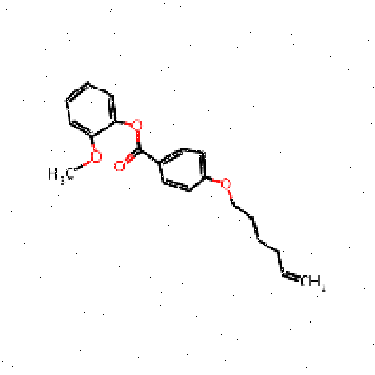 C=CCCCCOc1ccc(C(=O)Oc2ccccc2OC)cc1